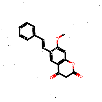 COc1cc2c(cc1/C=C/c1ccccc1)C(=O)CC(=O)O2